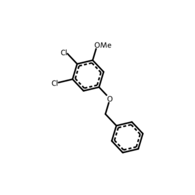 COc1cc(OCc2ccccc2)cc(Cl)c1Cl